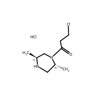 C[C@@H]1CN[C@@H](C)CN1C(=O)CCCl.Cl